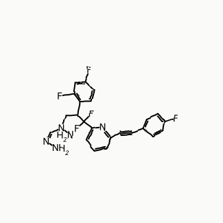 N/N=C\N(N)CC(c1ccc(F)cc1F)C(F)(F)c1cccc(C#Cc2ccc(F)cc2)n1